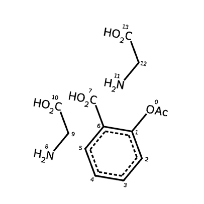 CC(=O)Oc1ccccc1C(=O)O.NCC(=O)O.NCC(=O)O